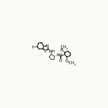 COc1cccc(OC)c1C(=O)N[C@@H]1CCC[C@H]1Nc1nc2ccc(F)cc2s1